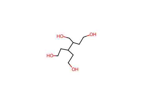 OCCC(CO)C(CCO)CCO